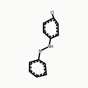 Clc1ccc(N[N]c2ccccc2)cc1